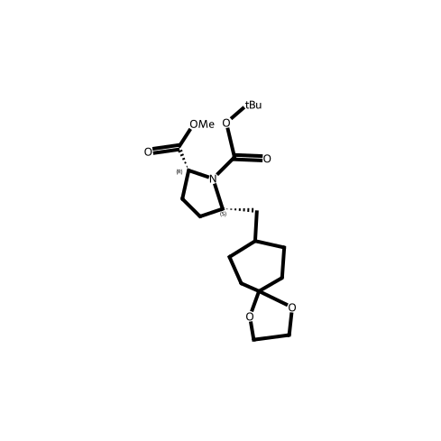 COC(=O)[C@H]1CC[C@@H](CC2CCC3(CC2)OCCO3)N1C(=O)OC(C)(C)C